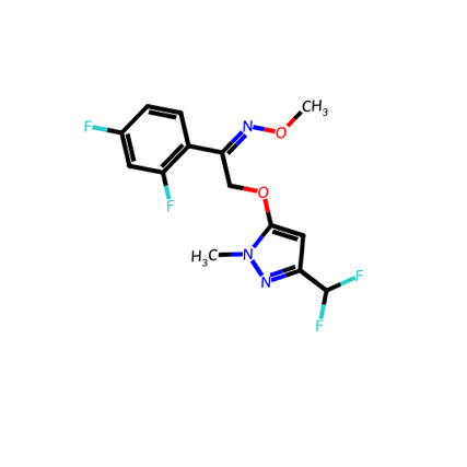 CON=C(COc1cc(C(F)F)nn1C)c1ccc(F)cc1F